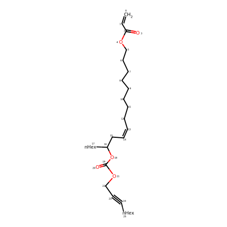 C=CC(=O)OCCCCCCCC/C=C\CC(CCCCCC)OC(=O)OCC#CCCCCCC